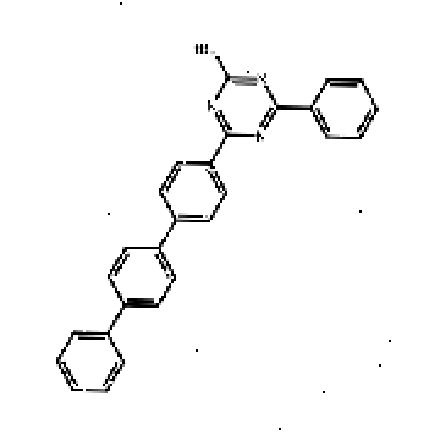 CC(C)(C)c1nc(-c2ccccc2)nc(-c2ccc(-c3ccc(-c4ccccc4)cc3)cc2)n1